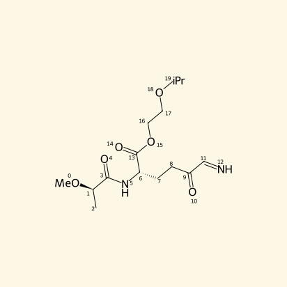 CO[C@H](C)C(=O)N[C@@H](CCC(=O)C=N)C(=O)OCCOC(C)C